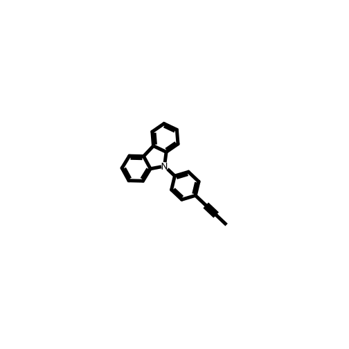 CC#Cc1ccc(-n2c3ccccc3c3ccccc32)cc1